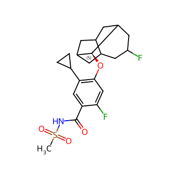 CS(=O)(=O)NC(=O)c1cc(C2CC2)c(O[C@@H]2C3CC(F)CC4CC2CC4C3)cc1F